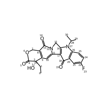 CC[C@@]1(O)C(=O)OCc2c1cc1n(c2=O)Cc2c-1c(=O)c1cc(F)ccc1n2C(C)C